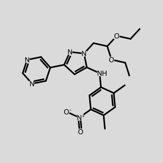 CCOC(Cn1nc(-c2cncnc2)cc1Nc1cc([N+](=O)[O-])c(C)cc1C)OCC